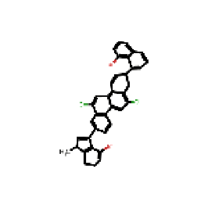 CC1C=C(c2ccc3c(c2)c(Cl)cc2c4c(c(Cl)cc23)CC(c2cccc3cccc(Br)c23)C=C4)C2=C1CCC=C2Br